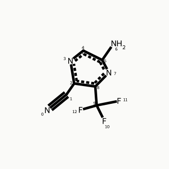 N#Cc1ncc(N)nc1C(F)(F)F